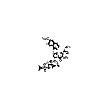 C=C[C@@H]1C[C@]1(NC(=O)[C@@H]1C[C@@H](Oc2nccc3cc(OC)ccc23)CN1C(=O)[C@@H](NC(=O)OC(C)(C)C)C(C)C)C(=O)NS(=O)(=O)C1CC1